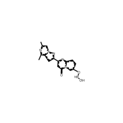 Cc1cn2nc(-c3cc(=O)n4cc(OBO)ccc4n3)cc2c(C)n1